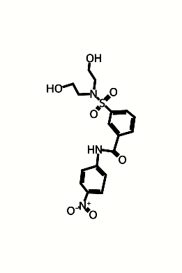 O=C(Nc1ccc([N+](=O)[O-])cc1)c1cccc(S(=O)(=O)N(CCO)CCO)c1